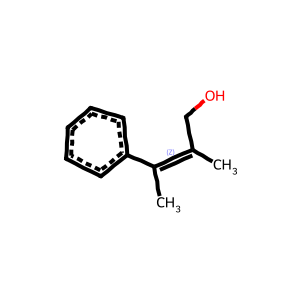 C/C(CO)=C(\C)c1ccccc1